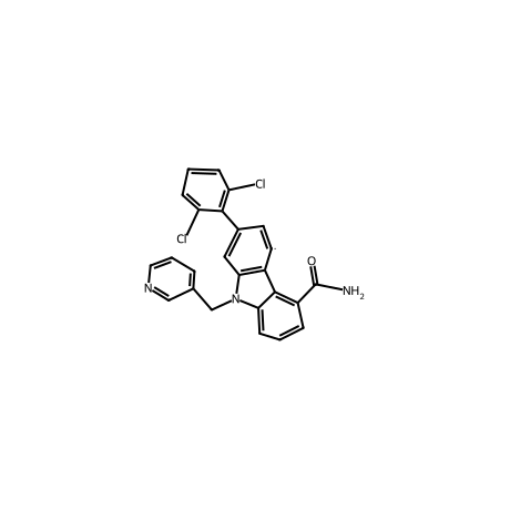 NC(=O)c1cccc2c1c1[c]cc(-c3c(Cl)cccc3Cl)cc1n2Cc1cccnc1